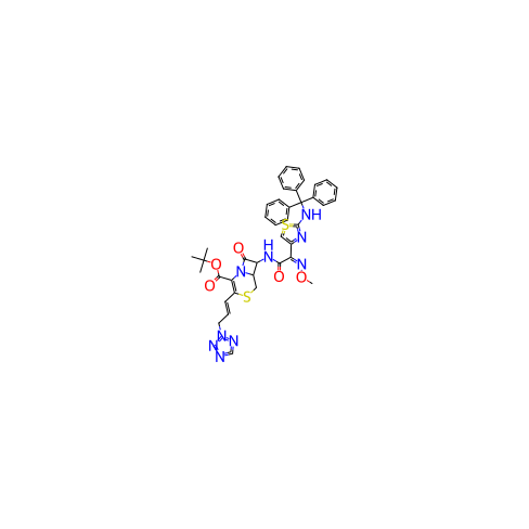 CO/N=C(\C(=O)NC1C(=O)N2C(C(=O)OC(C)(C)C)=C(/C=C/Cn3ncnn3)SCC12)c1csc(NC(c2ccccc2)(c2ccccc2)c2ccccc2)n1